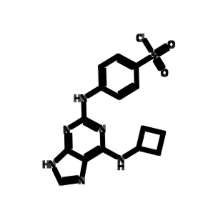 O=S(=O)(Cl)c1ccc(Nc2nc(NC3CCC3)c3nc[nH]c3n2)cc1